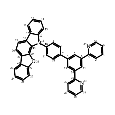 c1ccc(-c2cc(-c3ccc(-n4c5ccccc5c5ccc6c7ccccc7oc6c54)cc3)cc(-c3ccccn3)c2)nc1